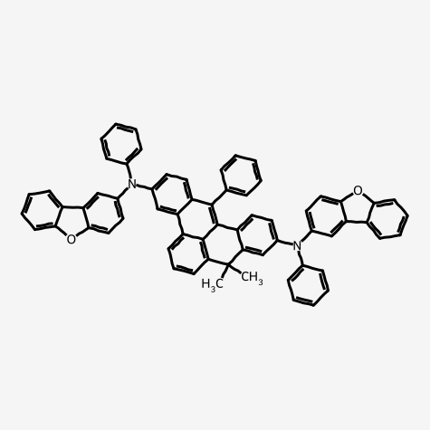 CC1(C)c2cc(N(c3ccccc3)c3ccc4oc5ccccc5c4c3)ccc2-c2c(-c3ccccc3)c3ccc(N(c4ccccc4)c4ccc5oc6ccccc6c5c4)cc3c3cccc1c23